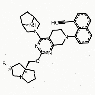 C#Cc1cccc2cccc(N3CCc4c(nc(OC[C@@]56CCCN5C[C@H](F)C6)nc4N4CC5CCC(C4)N5)C3)c12